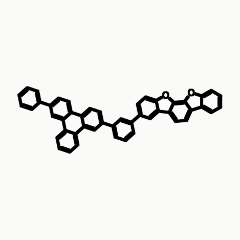 c1ccc(-c2ccc3c4ccc(-c5cccc(-c6ccc7oc8c(ccc9c%10ccccc%10oc98)c7c6)c5)cc4c4ccccc4c3c2)cc1